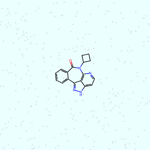 O=C1c2ccccc2-c2n[nH]c3ccnc(c23)N1C1CCC1